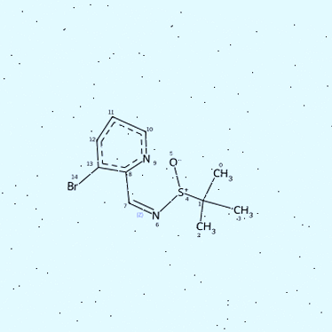 CC(C)(C)[S+]([O-])/N=C\c1ncccc1Br